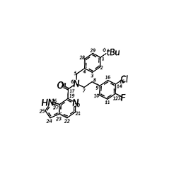 CC(C)(C)c1ccc(CN(CCc2ccc(F)c(Cl)c2)C(=O)c2nccc3cc[nH]c23)cc1